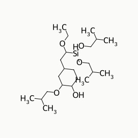 CCOC(CC1CCC(O)C(OCC(C)C)C1)[SiH](OCC(C)C)OCC(C)C